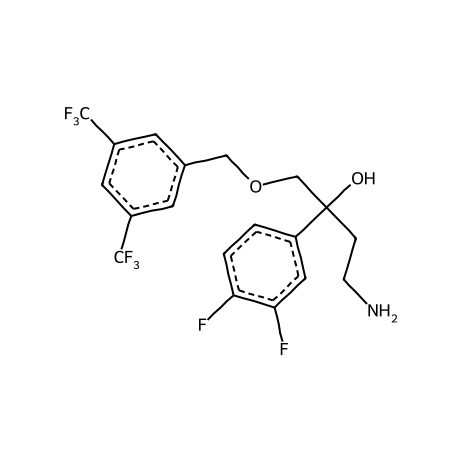 NCCC(O)(COCc1cc(C(F)(F)F)cc(C(F)(F)F)c1)c1ccc(F)c(F)c1